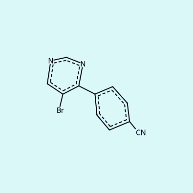 N#Cc1ccc(-c2ncncc2Br)cc1